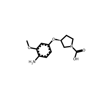 COc1cc(O[C@H]2CCN(C(=O)O)C2)ccc1N